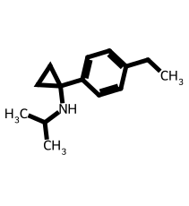 CCc1ccc(C2(NC(C)C)CC2)cc1